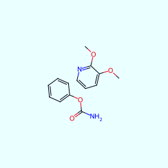 COc1cccnc1OC.NC(=O)Oc1ccccc1